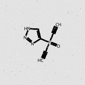 C#CP(=O)(C#C)c1c[nH]nn1